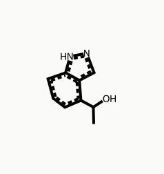 CC(O)c1cccc2[nH]ncc12